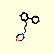 [c]1ccc(-c2ccccc2)c(CCCN2CCOCC2)c1